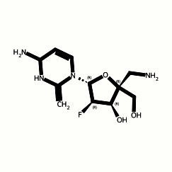 C=C1NC(N)C=CN1[C@@H]1O[C@](CN)(CO)[C@@H](O)[C@H]1F